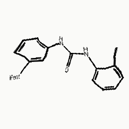 CCCC(C)c1cccc(NC(=O)Nc2ccccc2C)c1